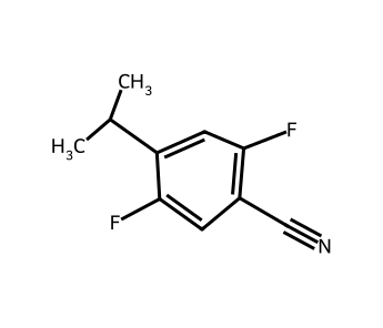 CC(C)c1cc(F)c(C#N)cc1F